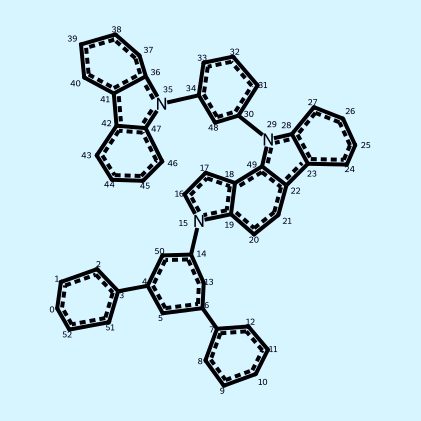 c1ccc(-c2cc(-c3ccccc3)cc(-n3ccc4c3ccc3c5ccccc5n(-c5cccc(-n6c7ccccc7c7ccccc76)c5)c34)c2)cc1